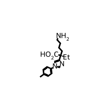 CC[C@](CCCCN)(C(=O)O)c1cn(-c2ccc(C)cc2)cn1